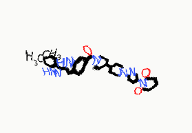 CC1(C)CCc2c(-c3cc4ccc(C(=O)N5CCC(C6CCN(c7ccc(N8C(=O)CCCC8=O)cn7)CC6)CC5)cc4[nH]3)n[nH]c2C1